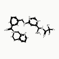 NC(OC(=O)C(F)(F)F)c1cc(OCc2cccc(C(=O)N3CCc4cccnc4C3)c2)ncn1